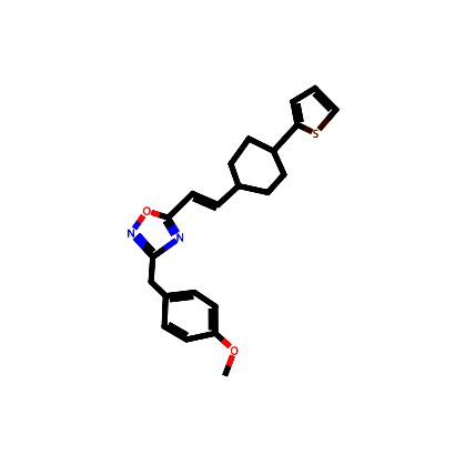 COc1ccc(Cc2noc(C=CC3CCC(c4cccs4)CC3)n2)cc1